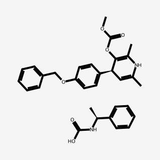 COC(=O)OC1=C(C)NC(C)=C[C@H]1c1ccc(OCc2ccccc2)cc1.C[C@H](NC(=O)O)c1ccccc1